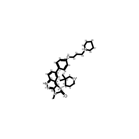 Cn1c(=O)n([C@H]2CCOCC2(C)C)c2c3cc(-c4ccc(OCCCN5CCCCC5)cc4)ccc3nnc21